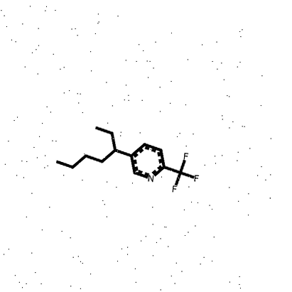 CCCCC(CC)c1ccc(C(F)(F)F)nc1